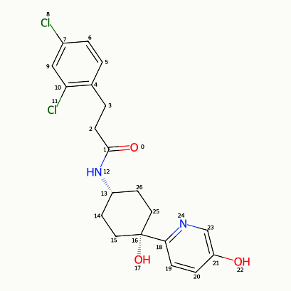 O=C(CCc1ccc(Cl)cc1Cl)N[C@H]1CC[C@](O)(c2ccc(O)cn2)CC1